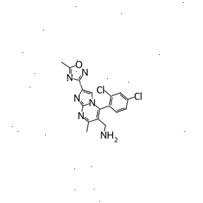 Cc1nc(-c2cn3c(-c4ccc(Cl)cc4Cl)c(CN)c(C)nc3n2)no1